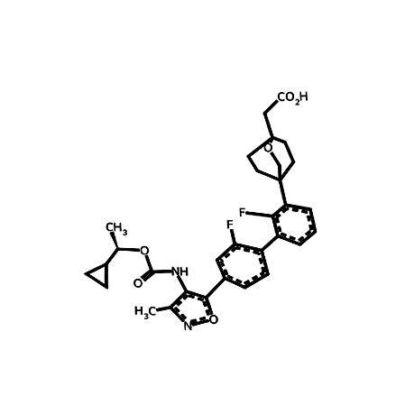 Cc1noc(-c2ccc(-c3cccc(C45CCC(CC(=O)O)(CC4)OC5)c3F)c(F)c2)c1NC(=O)O[C@H](C)C1CC1